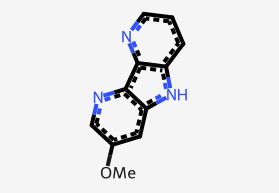 COc1cnc2c(c1)[nH]c1cccnc12